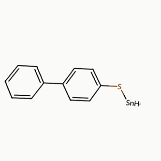 [SnH][S]c1ccc(-c2ccccc2)cc1